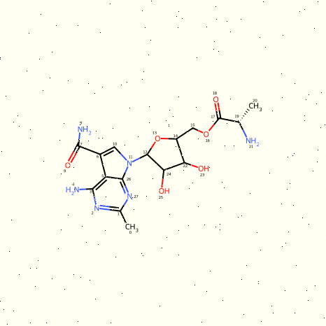 Cc1nc(N)c2c(C(N)=O)cn(C3OC(COC(=O)[C@H](C)N)C(O)C3O)c2n1